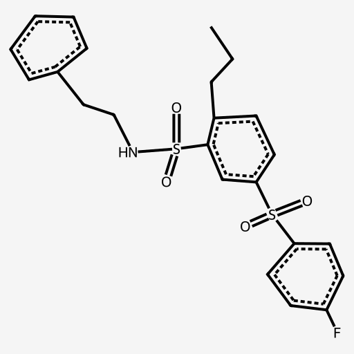 CCCc1ccc(S(=O)(=O)c2ccc(F)cc2)cc1S(=O)(=O)NCCc1ccccc1